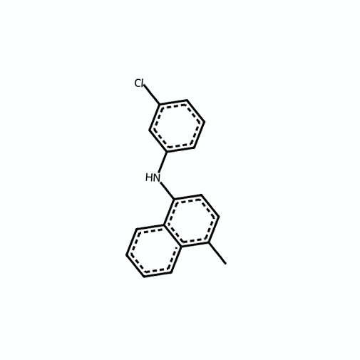 Cc1ccc(Nc2cccc(Cl)c2)c2ccccc12